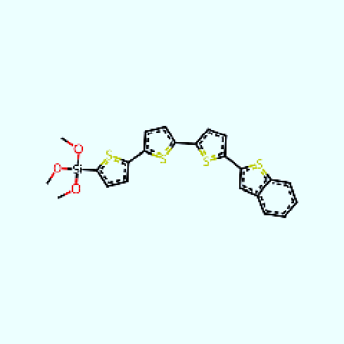 CO[Si](OC)(OC)c1ccc(-c2ccc(-c3ccc(-c4cc5ccccc5s4)s3)s2)s1